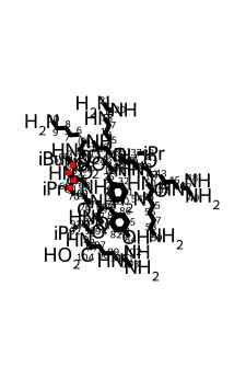 CC[C@H](C)[C@H](NC(=O)[C@H](CCCCN)NC(=O)[C@H](CCCNC(=N)N)NC(=O)[C@H](Cc1ccccc1)NC(=O)[C@H](CC(C)C)NC(=O)[C@H](CCCNC(=N)N)NC(=O)[C@@H](N)CCCCN)C(=O)N[C@@H](CC(C)C)C(=O)N[C@@H](CCCCN)C(=O)N[C@@H](Cc1ccc(O)cc1)C(=O)N[C@@H](CC(C)C)C(=O)N[C@@H](CCCNC(=N)N)C(=O)O